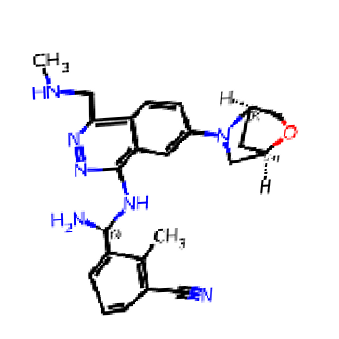 CNCc1nnc(N[C@H](N)c2cccc(C#N)c2C)c2cc(N3C[C@H]4C[C@@H]3CO4)ccc12